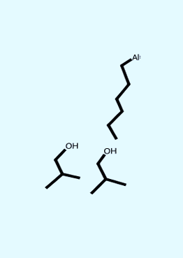 CC(C)CO.CC(C)CO.CCCCC[CH2][Al]